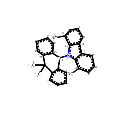 CC1(C)c2ccccc2B(n2c3c(C#N)cccc3c3cccc(C#N)c32)c2ccccc21